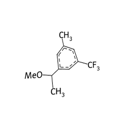 COC(C)c1cc(C)cc(C(F)(F)F)c1